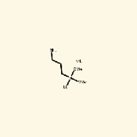 CC[Si](CCCN)(OC)OC.N